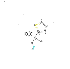 CC(CF)(C(=O)O)c1cccs1